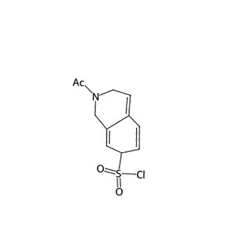 CC(=O)N1CC=C2C=CC(S(=O)(=O)Cl)C=C2C1